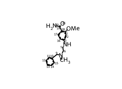 COc1cc(NCCN(C)Cc2ccccc2)ccc1C(N)=O